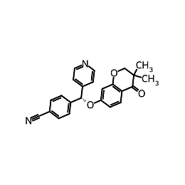 CC1(C)COc2cc(O[C@@H](c3ccncc3)c3ccc(C#N)cc3)ccc2C1=O